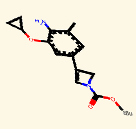 Cc1cc(C2=CN(C(=O)OC(C)(C)C)C2)cc(OC2CC2)c1N